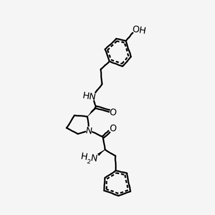 N[C@H](Cc1ccccc1)C(=O)N1CCC[C@H]1C(=O)NCCc1ccc(O)cc1